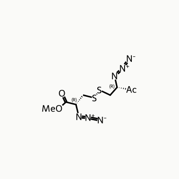 COC(=O)[C@H](CSSC[C@H](N=[N+]=[N-])C(C)=O)N=[N+]=[N-]